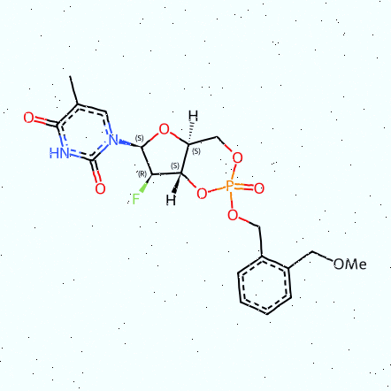 COCc1ccccc1COP1(=O)OC[C@@H]2O[C@H](n3cc(C)c(=O)[nH]c3=O)[C@H](F)[C@H]2O1